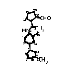 C=C(Nc1ccc(C2C=CC=C(C)C2)cc1F)C1CCCC1C=O